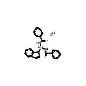 O=C([NH][Hf+2]([NH]C(=O)c1ccccc1)[CH]1C=Cc2ccccc21)c1ccccc1.[Cl-].[Cl-]